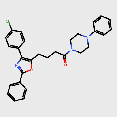 O=C(CCCc1oc(-c2ccccc2)nc1-c1ccc(Cl)cc1)N1CCN(c2ccccc2)CC1